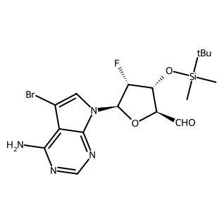 CC(C)(C)[Si](C)(C)O[C@H]1[C@@H](F)[C@H](n2cc(Br)c3c(N)ncnc32)O[C@@H]1C=O